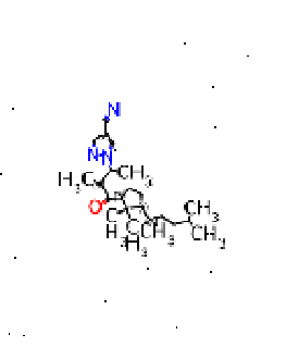 CC(C)CC[C@H](C)[C@@H]1CC[C@H](C(=O)[C@@H](C)C(C)n2cc(C#N)cn2)C1(C)C